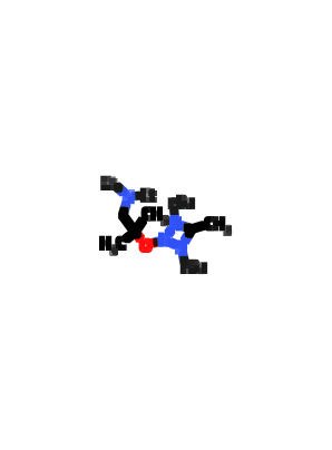 CCCCN1C(C)N(CCCC)N1OC(C)(C)CN(CC)CC